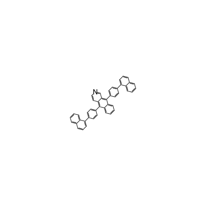 c1ccc2c(-c3ccc(-c4c5ccccc5c(-c5ccc(-c6cccc7ccccc67)cc5)c5cnccc45)cc3)cccc2c1